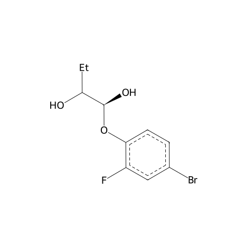 CCC(O)[C@@H](O)Oc1ccc(Br)cc1F